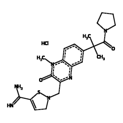 Cl.Cn1c(=O)c(CN2CC=C(C(=N)N)S2)nc2cc(C(C)(C)C(=O)N3CCCC3)ccc21